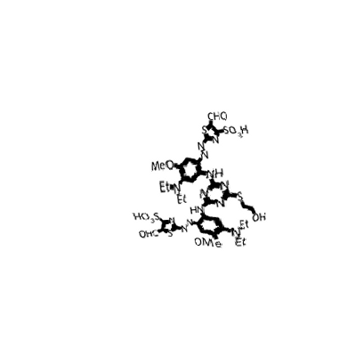 CCN(CC)c1cc(Nc2nc(Nc3cc(N(CC)CC)c(OC)cc3/N=N/c3nc(S(=O)(=O)O)c(C=O)s3)nc(SCCO)n2)c(/N=N/c2nc(S(=O)(=O)O)c(C=O)s2)cc1OC